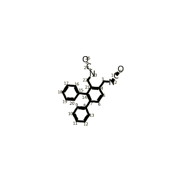 O=C=NCc1ccc(-c2ccccc2)c(-c2ccccc2)c1CN=C=O